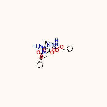 CC(C)CC(NC(=O)OCc1ccccc1)C(=O)C(N)(C(=O)CN)C(=O)C(CC(C)C)NC(=O)OCc1ccccc1